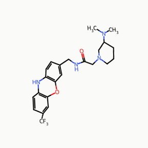 CN(C)C1CCCN(CC(=O)NCc2ccc3c(c2)Oc2cc(C(F)(F)F)ccc2N3)C1